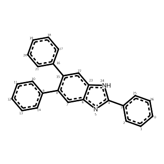 c1ccc(-c2nc3cc(-c4ccccc4)c(-c4ccccc4)cc3[nH]2)cc1